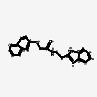 O=C(COc1ccc2ncccc2c1)NCCc1nc2ccccc2[nH]1